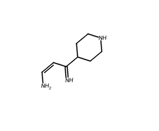 N=C(/C=C\N)C1CCNCC1